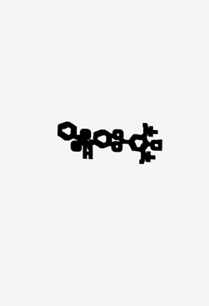 CN(C)c1cc(C2Oc3ccc(NS(=O)(=O)c4ccccc4)cc3O2)cc(N(C)C)c1Cl